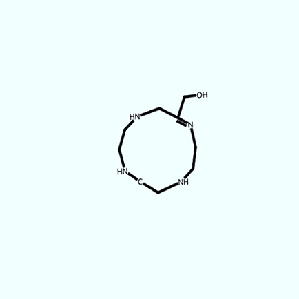 OCC1=NCCNCCNCCNC1